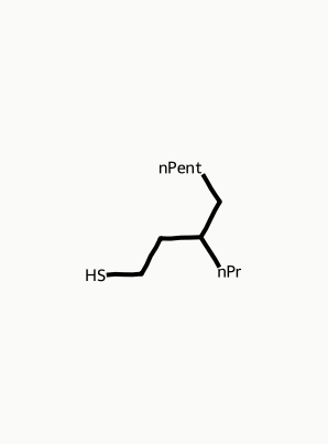 CCCCCCC(CCC)CCS